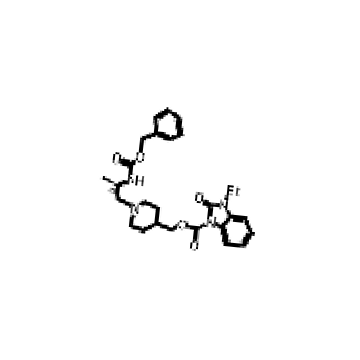 CCn1c(=O)n(C(=O)OCC2CCN(C[C@@H](C)NC(=O)OCc3ccccc3)CC2)c2ccccc21